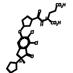 C[C@@]1(C2CCCC2)Cc2cc(OC3CCC(C(=O)N[C@@H](CCC(=O)O)C(=O)O)C3)c(Cl)c(Cl)c2C1=O